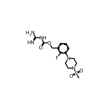 CS(=O)(=O)N1CCN(c2cccc(COC(=O)NC(=N)N)c2F)CC1